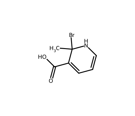 CC1(Br)NC=CC=C1C(=O)O